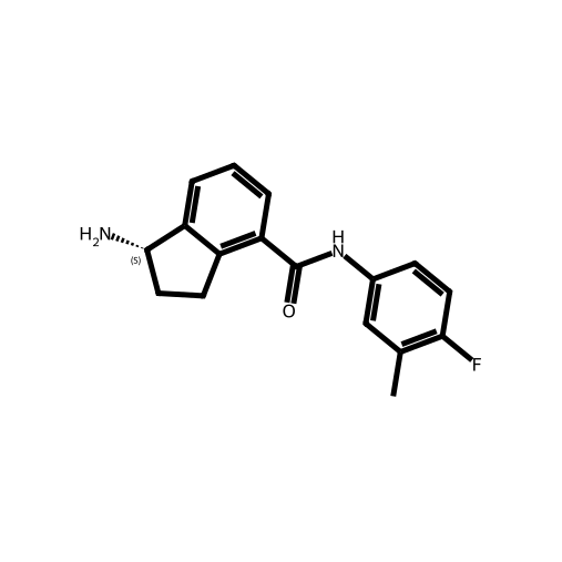 Cc1cc(NC(=O)c2cccc3c2CC[C@@H]3N)ccc1F